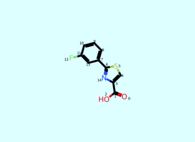 O=C(O)c1csc(-c2cccc(F)c2)n1